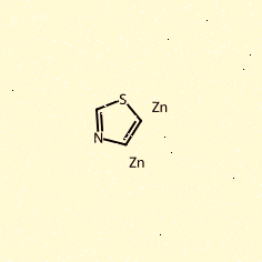 [Zn].[Zn].c1cscn1